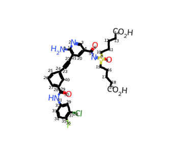 Nc1ncc(C(=O)N=S(=O)(CCCCC(=O)O)CCCCC(=O)O)cc1C#Cc1cccc(C(=O)Nc2ccc(F)c(Cl)c2)c1